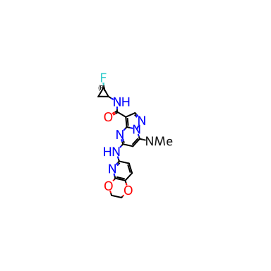 CNc1cc(Nc2ccc3c(n2)OCCO3)nc2c(C(=O)NC3C[C@H]3F)cnn12